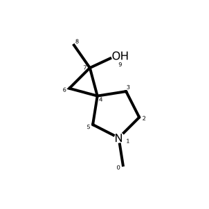 CN1CCC2(C1)CC2(C)O